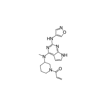 C=CC(=O)N1CCCC(N(C)c2nc(Nc3cnoc3)nc3[nH]ccc23)C1